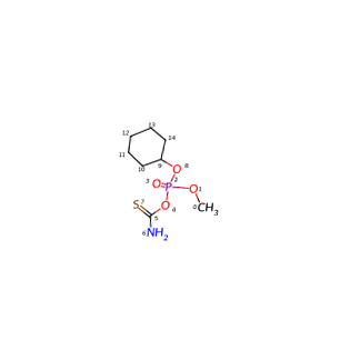 COP(=O)(OC(N)=S)OC1CCCCC1